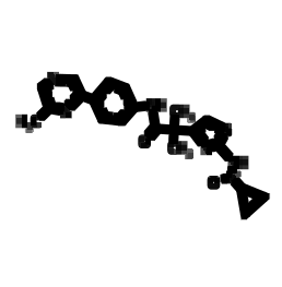 Cc1cncc(-c2ccc(NC(=O)C(C)(C)c3csc(N[S+]([O-])C4CC4)n3)cc2)n1